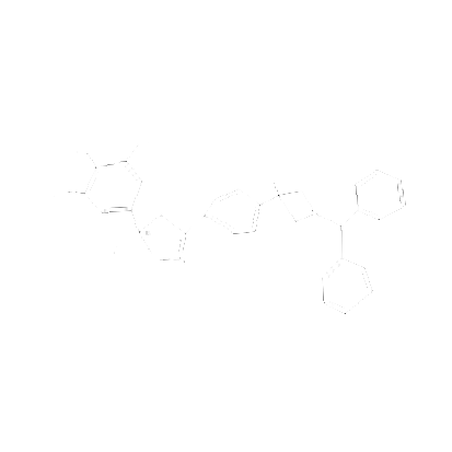 OC1(c2ccc(C3=NO[C@](c4cc(Cl)c(Cl)c(C(F)(F)F)c4)(C(F)(F)F)C3)cc2)CN(C(c2ccccc2)c2ccccc2)C1